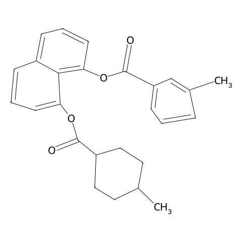 Cc1cccc(C(=O)Oc2cccc3cccc(OC(=O)C4CCC(C)CC4)c23)c1